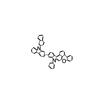 c1ccc(-n2c3cc(-c4ccc5c6ccccc6n(-c6ccc7ccccc7c6)c5c4)ccc3c3c4cccc5c4c(cc32)Oc2ccccc2-5)cc1